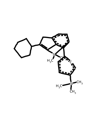 C[Si](C)(C)c1ccc(-c2c3ccc4c2C(=C(C2CCCCC2)[CH]4)[Si]3(C)C)cc1